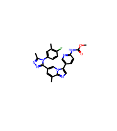 COC(=O)Nc1ccc(-c2cnc3c(C)cc(-c4nnc(C)n4-c4ccc(F)c(C)c4)cn23)cn1